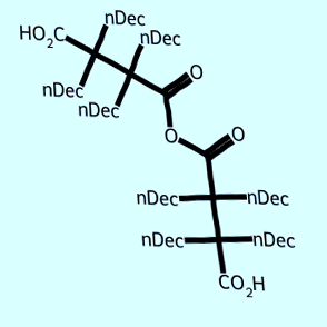 CCCCCCCCCCC(CCCCCCCCCC)(C(=O)O)C(CCCCCCCCCC)(CCCCCCCCCC)C(=O)OC(=O)C(CCCCCCCCCC)(CCCCCCCCCC)C(CCCCCCCCCC)(CCCCCCCCCC)C(=O)O